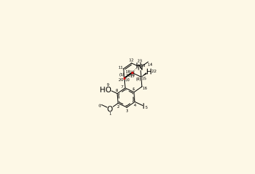 COc1cc(I)c2c(c1O)[C@]13C=CN(C)[C@H](C2)[C@@H]1CCCC3